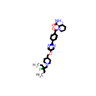 CCC(F)(CC)CN1CCC(COc2cnc(C3C=CC(C(=O)N4CCCC[C@@H]4C(N)=O)=CC3)nc2)CC1